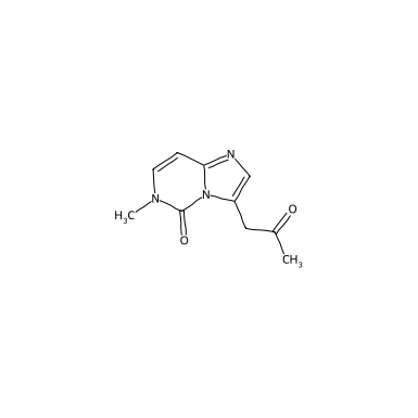 CC(=O)Cc1cnc2ccn(C)c(=O)n12